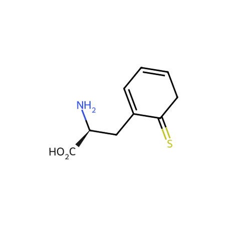 N[C@@H](CC1=CC=CCC1=S)C(=O)O